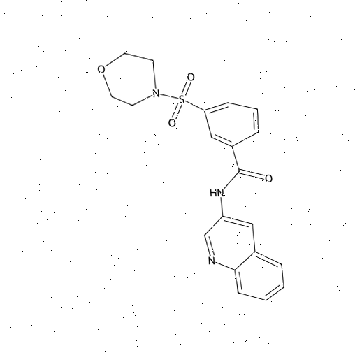 O=C(Nc1cnc2ccccc2c1)c1cccc(S(=O)(=O)N2CCOCC2)c1